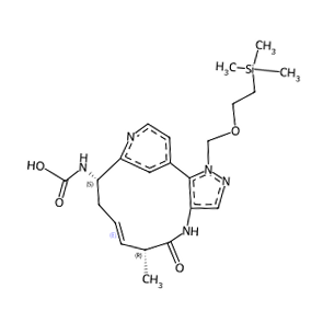 C[C@@H]1/C=C/C[C@H](NC(=O)O)c2cc(ccn2)-c2c(cnn2COCC[Si](C)(C)C)NC1=O